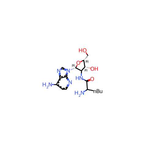 CCCCC(N)C(=O)NC1[C@@H](O)[C@@H](CO)O[C@H]1n1cnc2c(N)ccnc21